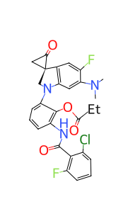 CCC(=O)Oc1c(NC(=O)c2c(F)cccc2Cl)cccc1N1C[C@]2(CC2=O)c2cc(F)c(N(C)C)cc21